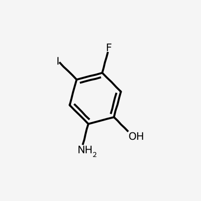 Nc1cc(I)c(F)cc1O